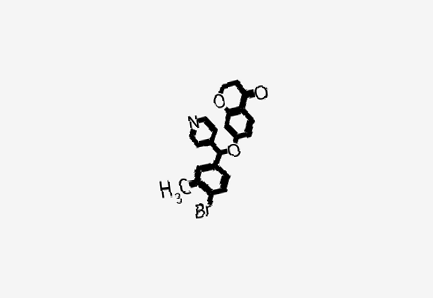 Cc1cc(C(Oc2ccc3c(c2)OCCC3=O)c2ccncc2)ccc1Br